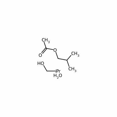 CC(=O)OCC(C)C.CC(C)CO.O